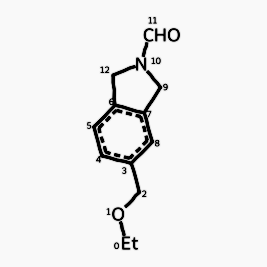 CCOCc1ccc2c(c1)CN(C=O)C2